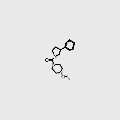 CN1CCN(C(=O)N2CCC(c3ccccc3)C2)CC1